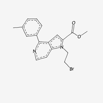 COC(=O)c1cc2c(-c3cccc(C)c3)nccc2n1CCBr